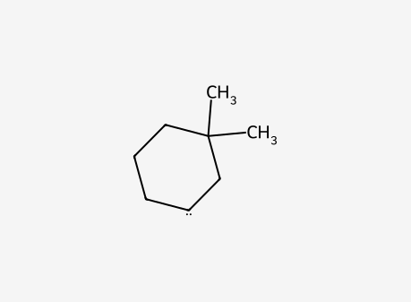 CC1(C)C[C]CCC1